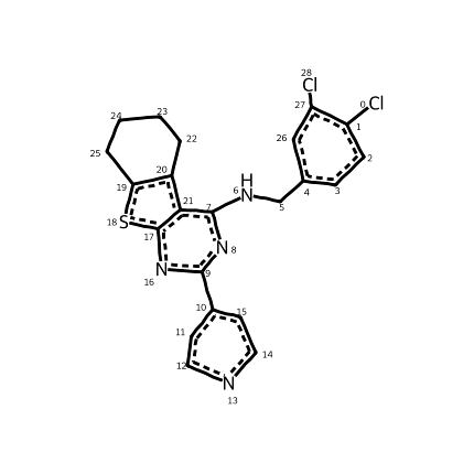 Clc1ccc(CNc2nc(-c3ccncc3)nc3sc4c(c23)CCCC4)cc1Cl